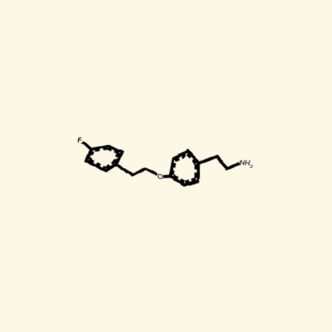 NCCc1ccc(OCCc2ccc(F)cc2)cc1